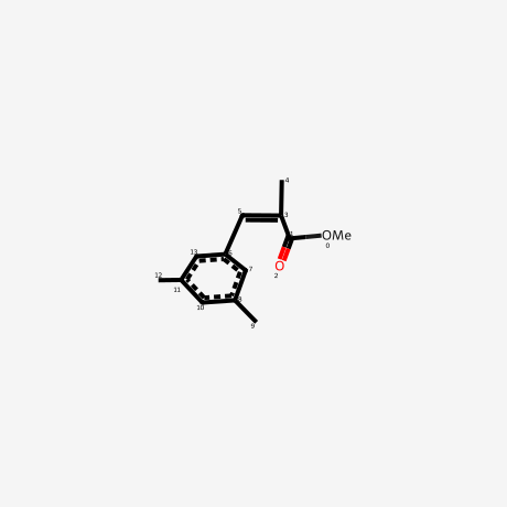 COC(=O)C(C)=Cc1cc(C)cc(C)c1